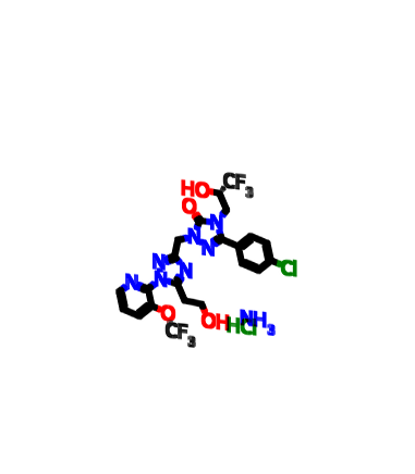 Cl.N.O=c1n(Cc2nc(CCO)n(-c3ncccc3OC(F)(F)F)n2)nc(-c2ccc(Cl)cc2)n1C[C@H](O)C(F)(F)F